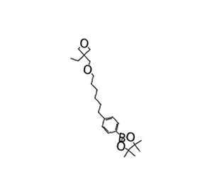 CCC1(COCCCCCCc2ccc(B3OC(C)(C)C(C)(C)O3)cc2)COC1